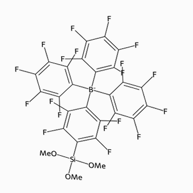 CO[Si](OC)(OC)c1c(F)c(F)c([B-](c2c(F)c(F)c(F)c(F)c2F)(c2c(F)c(F)c(F)c(F)c2F)c2c(F)c(F)c(F)c(F)c2F)c(F)c1F